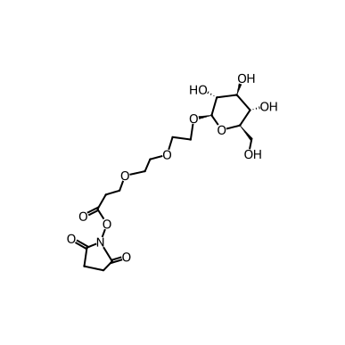 O=C(CCOCCOCCO[C@@H]1O[C@H](CO)[C@@H](O)[C@H](O)[C@H]1O)ON1C(=O)CCC1=O